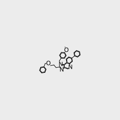 COc1ccc(Cn2c(CCCOCc3ccccc3)nc3cnc4cc(-c5ccccc5)ccc4c32)cc1